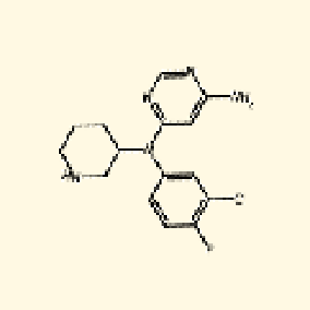 Nc1cc(N(c2ccc(F)c(Cl)c2)C2CCCNC2)ncn1